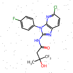 CC(O)(CC(=O)Nc1nc2ccc(Cl)nc2n1-c1ccc(F)cc1)C(F)(F)F